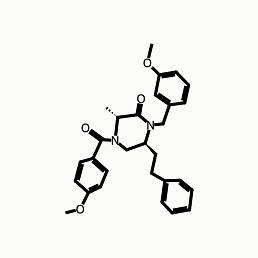 COc1ccc(C(=O)N2C[C@H](CCc3ccccc3)N(Cc3cccc(OC)c3)C(=O)[C@H]2C)cc1